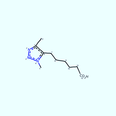 Cc1nnn(C)c1CCCCCC(=O)O